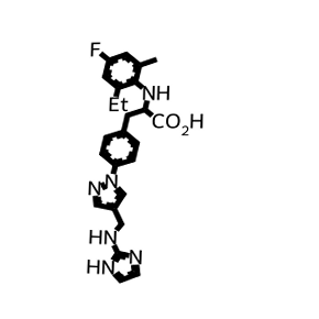 CCc1cc(F)cc(C)c1NC(Cc1ccc(-n2cc(CNc3ncc[nH]3)cn2)cc1)C(=O)O